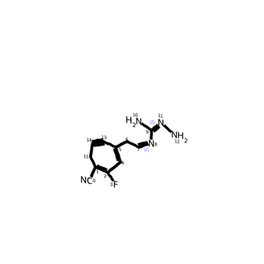 N#CC1=C(F)C=C(C/C=N\C(N)=N/N)C#CC1